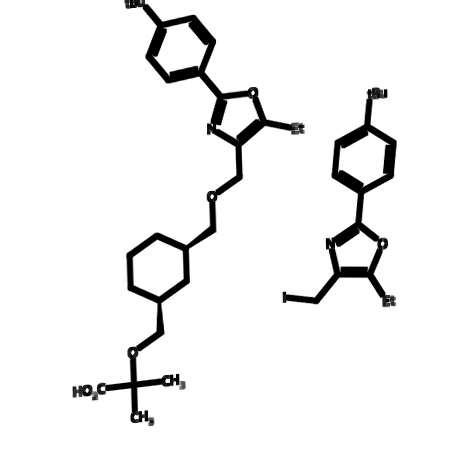 CCc1oc(-c2ccc(C(C)(C)C)cc2)nc1CI.CCc1oc(-c2ccc(C(C)(C)C)cc2)nc1COC[C@@H]1CCC[C@H](COC(C)(C)C(=O)O)C1